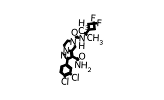 CC(C)(NC(=O)N1CCn2nc(-c3ccc(Cl)c(Cl)c3)c(C(N)=O)c2C1)C1CC(F)(F)C1